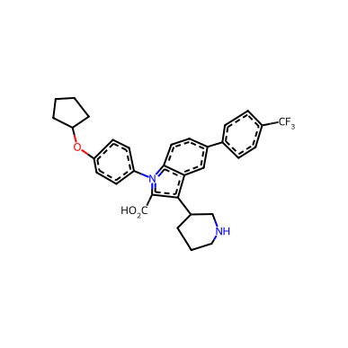 O=C(O)c1c(C2CCCNC2)c2cc(-c3ccc(C(F)(F)F)cc3)ccc2n1-c1ccc(OC2CCCC2)cc1